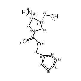 N[C@H]1[CH]N(C(=O)OCc2ccccc2)C[C@H]1CO